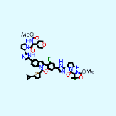 COC(=O)NC(C(=O)N1CCC[C@H]1c1ncc(-c2cc(F)c3c(c2)OC(c2ccc(C4CC4)s2)n2c-3cc3cc(-c4cnc([C@@H]5CCCN5C(=O)[C@@H](NC(=O)OC)C5CCOCC5)[nH]4)ccc32)[nH]1)C(C)(C)F